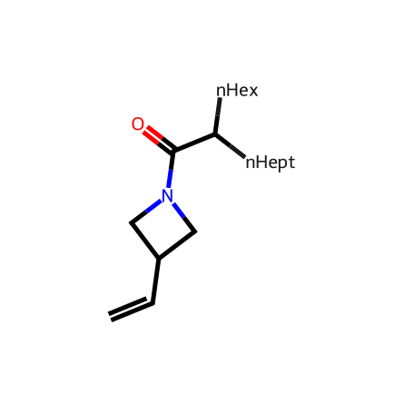 C=CC1CN(C(=O)C(CCCCCC)CCCCCCC)C1